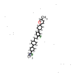 CC1CCC(C2CCC(c3ccc(CCC4CCC(C5CCC(/C(F)=C/C(F)(F)F)CC5)CC4)c(F)c3)CC2)OC1